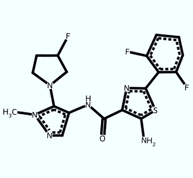 Cn1ncc(NC(=O)c2nc(-c3c(F)cccc3F)sc2N)c1N1CCC(F)C1